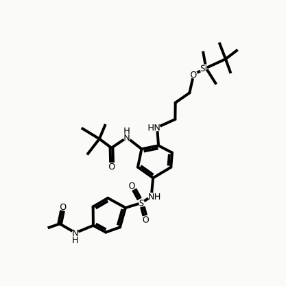 CC(=O)Nc1ccc(S(=O)(=O)Nc2ccc(NCCCO[Si](C)(C)C(C)(C)C)c(NC(=O)C(C)(C)C)c2)cc1